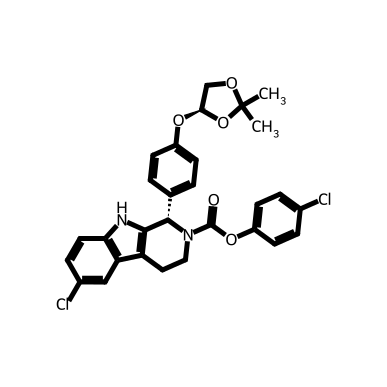 CC1(C)OC[C@H](Oc2ccc([C@H]3c4[nH]c5ccc(Cl)cc5c4CCN3C(=O)Oc3ccc(Cl)cc3)cc2)O1